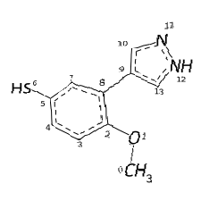 COc1ccc(S)cc1-c1cn[nH]c1